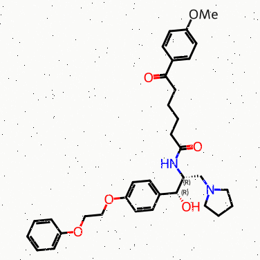 COc1ccc(C(=O)CCCCC(=O)N[C@H](CN2CCCC2)[C@H](O)c2ccc(OCCOc3ccccc3)cc2)cc1